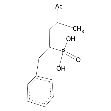 CC(=O)C(C)CC(Cc1ccccc1)P(=O)(O)O